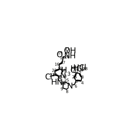 Cc1cccc(CN2CC[C@@H](Nc3ncc(C=CC(=O)NO)cc3Cl)C2)c1.Cl.Cl